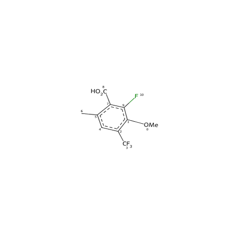 COc1c(C(F)(F)F)cc(C)c(C(=O)O)c1F